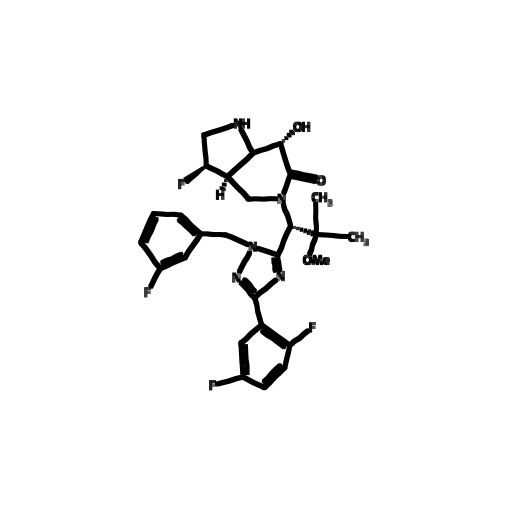 COC(C)(C)[C@H](c1nc(-c2cc(F)ccc2F)nn1Cc1cccc(F)c1)N1C[C@@H]2C(NC[C@@H]2F)[C@H](O)C1=O